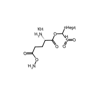 CCCCCCCC(OC(=O)[C@@H](N)CCC(=O)ON)[SH](=O)=O.[KH]